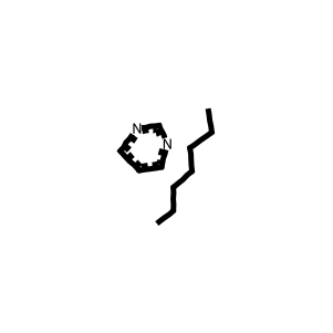 CCCCCCC.c1cncnc1